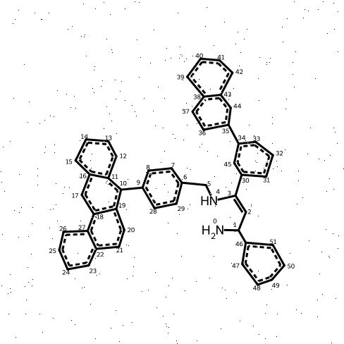 NC(/C=C(\NCc1ccc(-c2c3ccccc3cc3c2ccc2ccccc23)cc1)c1cccc(-c2ccc3ccccc3c2)c1)c1ccccc1